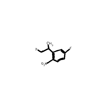 C[C](CF)c1cc(F)ccc1[N+](=O)[O-]